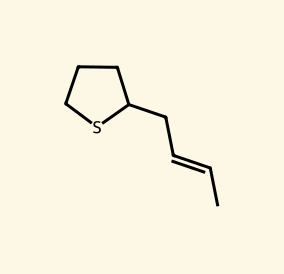 CC=CCC1CCCS1